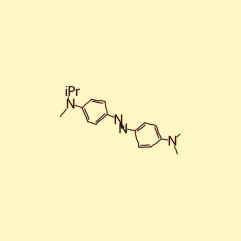 CC(C)N(C)c1ccc(/N=N/c2ccc(N(C)C)cc2)cc1